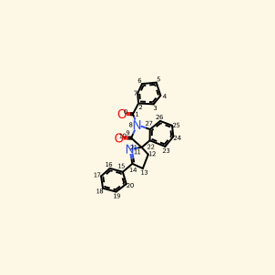 O=C(c1ccccc1)N1C(=O)C2(CCC(c3ccccc3)=N2)c2ccccc21